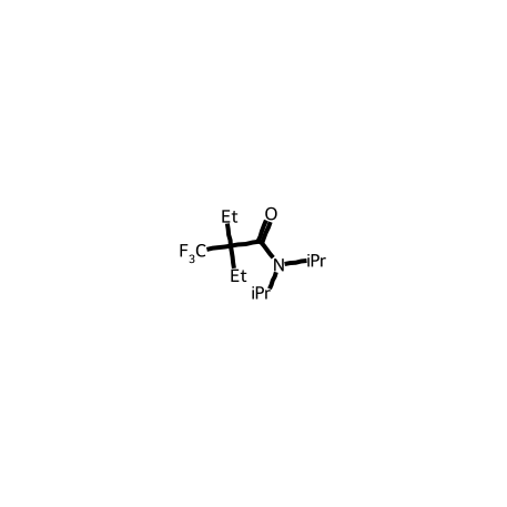 CCC(CC)(C(=O)N(C(C)C)C(C)C)C(F)(F)F